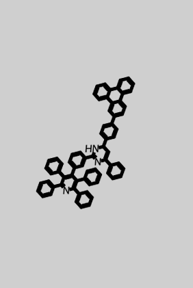 C1=C(c2ccccc2)N=C(c2cccc(-c3c(-c4ccccc4)c(-c4ccccc4)nc(-c4ccccc4)c3-c3ccccc3)c2)NC1c1ccc(-c2ccc3c4ccccc4c4ccccc4c3c2)cc1